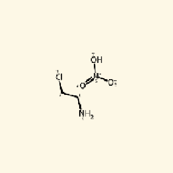 NCCCl.O=[N+]([O-])O